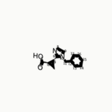 O=C(O)[C@@H]1C[C@H]1c1nccn1Cc1ccccc1